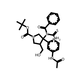 CC(=O)Nc1ccnc(C2(N(C(=O)c3ccccc3)C(N)=S)CN(C(=O)OC(C)(C)C)CC2CO)c1